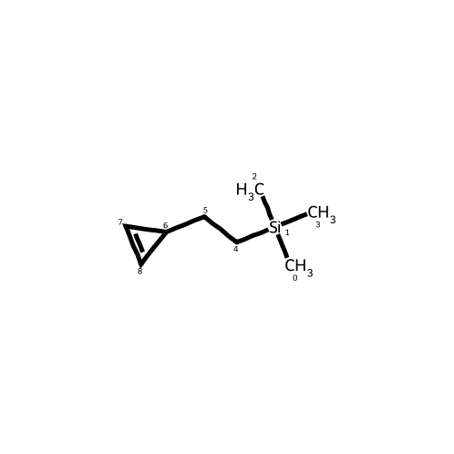 C[Si](C)(C)CCC1C=C1